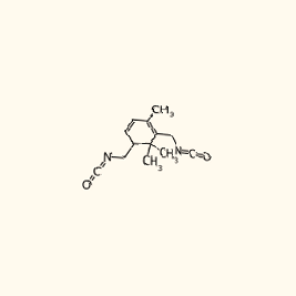 CC1=C(CN=C=O)C(C)(C)C(CN=C=O)C=C1